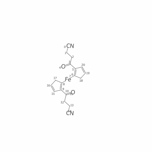 N#CCCC(=O)C1=[C]([Fe][C]2=C(C(=O)CCC#N)C=CC2)CC=C1